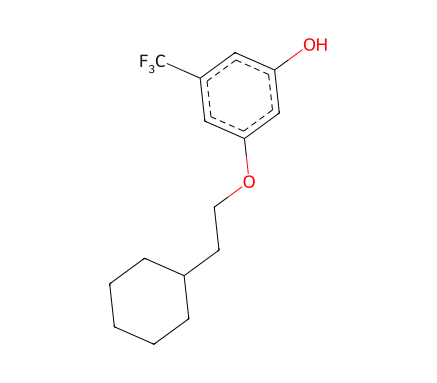 Oc1cc(OCCC2CCCCC2)cc(C(F)(F)F)c1